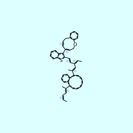 C/C=C\C=C(/C)c1ccccccc(/C(C)=C/C(=C\C)/C=C/c2sc3ccccc3c2C2=C/COc3ccccc3C/C=C\2)c2ccccc12